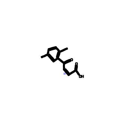 Cc1ccc(C)c(C(=O)/C=C\C(=O)O)c1